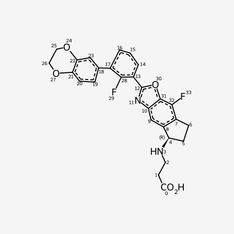 O=C(O)CCN[C@@H]1CCc2c1cc1nc(-c3cccc(-c4ccc5c(c4)OCCO5)c3F)oc1c2F